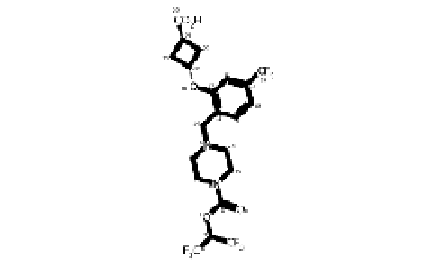 O=C(OC(C(F)(F)F)C(F)(F)F)N1CCN(Cc2ccc(C(F)(F)F)cc2O[C@H]2C[C@H](C(=O)O)C2)CC1